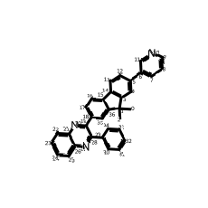 CC1(C)c2cc(-c3cccnc3)ccc2-c2ccc(-c3nc4ccccc4nc3-c3ccccc3)cc21